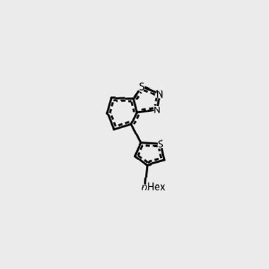 CCCCCCc1csc(-c2cccc3snnc23)c1